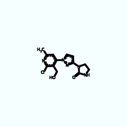 Cc1cc(-n2ccc(N3CCNC3=O)n2)c(CO)c(Cl)n1